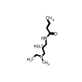 CCCC(=O)NC[C@@H](O)CN(C)CC